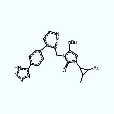 CCCCc1cn(C2C(C)C2C(C)=O)c(=O)n1Cc1cnccc1-c1ccc(-c2nnn[nH]2)cc1